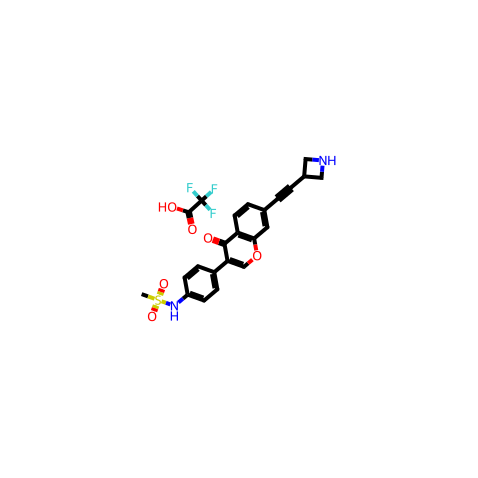 CS(=O)(=O)Nc1ccc(-c2coc3cc(C#CC4CNC4)ccc3c2=O)cc1.O=C(O)C(F)(F)F